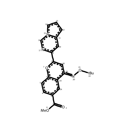 COC(=O)c1ccc2oc(-c3cc4cccn4cn3)cc(=NOC(C)(C)C)c2c1